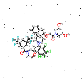 COCCN(CCOC)C(=O)CO[C@H]1Cc2ccccc2C12CCN(CC[C@@]1(c3ccc(Cl)c(Cl)c3)CN(C(=O)c3cc(C(F)(F)F)cc(C(F)(F)F)c3)CCO1)CC2.Cl